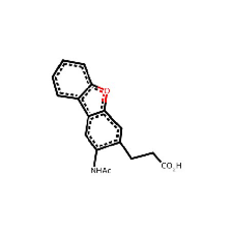 CC(=O)Nc1cc2c(cc1CCC(=O)O)oc1ccccc12